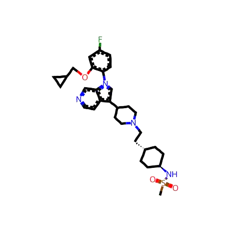 CS(=O)(=O)N[C@H]1CC[C@H](CCN2CCC(c3cn(-c4ccc(F)cc4OCC4CC4)c4cnccc34)CC2)CC1